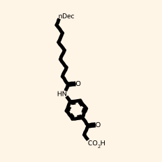 CCCCCCCCCCCCCCCCCC(=O)Nc1ccc(C(=O)CC(=O)O)cc1